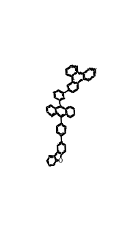 c1cc(-c2ccc3c4ccccc4c4ccccc4c3c2)cc(-c2c3ccccc3c(-c3ccc(-c4ccc5oc6ccccc6c5c4)cc3)c3ccccc23)c1